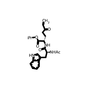 C=CC(=O)CC[C@H](NC(=O)[C@H](Cc1c[nH]c2ccccc12)NC(C)=O)C(=O)OC(C)C